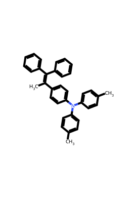 CC(=C(c1ccccc1)c1ccccc1)c1ccc(N(c2ccc(C)cc2)c2ccc(C)cc2)cc1